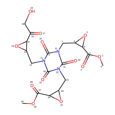 COC(=O)C1OC1Cn1c(=O)n(CC2OC2C(=O)CO)c(=O)n(CC2OC2C(=O)OC)c1=O